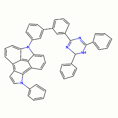 c1ccc(C2=NC(c3cccc(-c4cccc(-n5c6cccc7c8ccn(-c9ccccc9)c8c8cccc5c8c76)c4)c3)=NC(c3ccccc3)N2)cc1